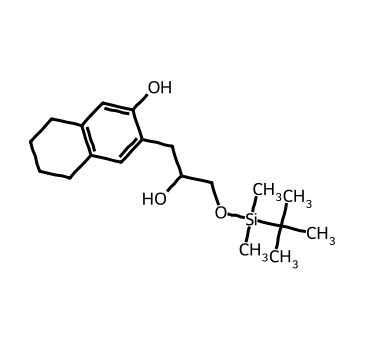 CC(C)(C)[Si](C)(C)OCC(O)Cc1cc2c(cc1O)CCCC2